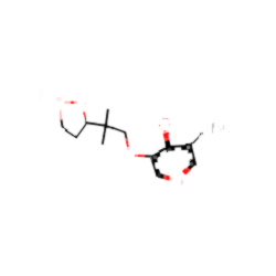 CC(C)(C)c1cocc(OCC(C)(C)C2CCB(O)O2)c1=O